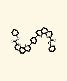 O=C(Oc1ccccc1)c1ccc2ccc3ccc(-c4ccc(-c5ccc6ccc7ccc(C(=O)Oc8ccccc8)nc7c6n5)cc4)nc3c2n1